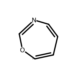 [C]1=CC=CN=CO1